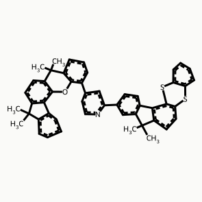 CC1(C)c2cccc(-c3ccnc(-c4ccc5c(c4)C(C)(C)c4ccc6c(c4-5)Sc4ccccc4S6)c3)c2Oc2c1ccc1c2-c2ccccc2C1(C)C